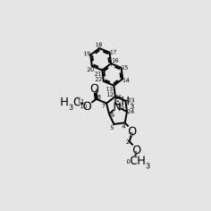 COCOC1CC2C(C(=O)OC)C(c3ccc4ccccc4c3)CC1N2C